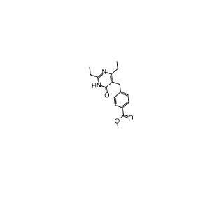 CCc1nc(CC)c(Cc2ccc(C(=O)OC)cc2)c(=O)[nH]1